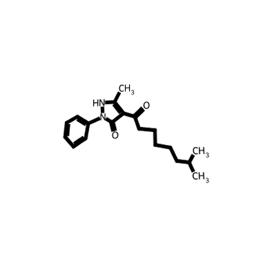 Cc1[nH]n(-c2ccccc2)c(=O)c1C(=O)CCCCCC(C)C